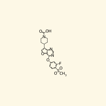 CS(=O)(=O)c1ccc(Oc2ncnc3c(C4CCN(C(=O)O)CC4)coc23)cc1F